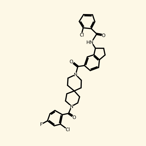 O=C(NC1CCc2ccc(C(=O)N3CCC4(CC3)CCN(C(=O)c3ccc(F)cc3Cl)CC4)cc21)c1ccccc1Cl